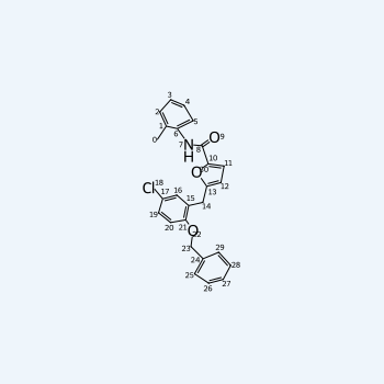 Cc1ccccc1NC(=O)c1ccc(Cc2cc(Cl)ccc2OCc2ccccc2)o1